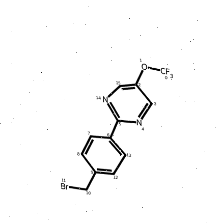 FC(F)(F)Oc1cnc(-c2ccc(CBr)cc2)nc1